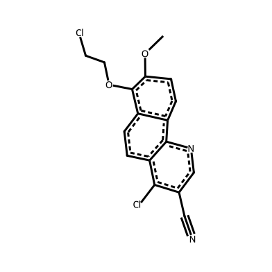 COc1ccc2c(ccc3c(Cl)c(C#N)cnc32)c1OCCCl